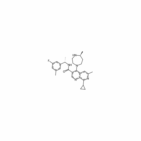 Cc1cc(F)cc([C@H](C)NC(=O)c2cnc3c(C4CC4)nc(C)cc3c2N2CCN[C@@H](C)CC2)c1